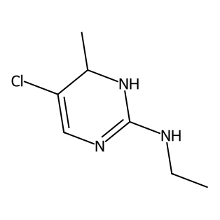 CCNC1=NC=C(Cl)C(C)N1